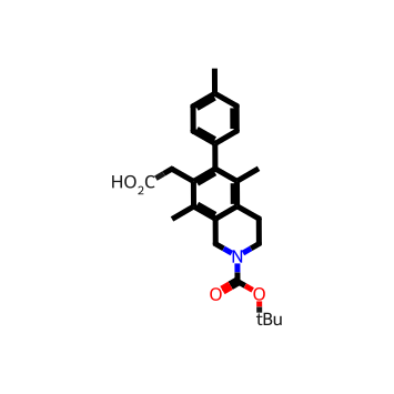 Cc1ccc(-c2c(C)c3c(c(C)c2CC(=O)O)CN(C(=O)OC(C)(C)C)CC3)cc1